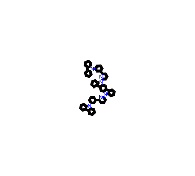 C1=CC(c2cccc(-n3c4ccccc4c4cc5c(cc43)c3ccccc3n5-c3cccc(-c4cccc(-n5c6ccccc6c6ccccc65)c4)n3)n2)CC(n2c3ccccc3c3ccccc32)=C1